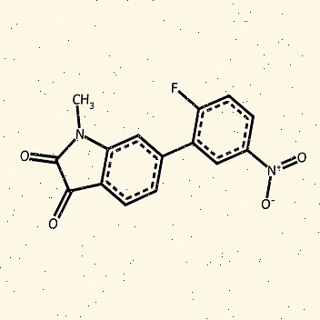 CN1C(=O)C(=O)c2ccc(-c3cc([N+](=O)[O-])ccc3F)cc21